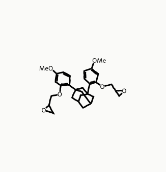 COc1ccc(C23CC4CC(C2)CC(c2ccc(OC)cc2OCC2CO2)(C4)C3)c(OCC2CO2)c1